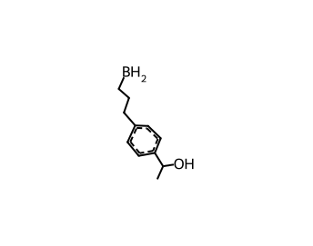 BCCCc1ccc(C(C)O)cc1